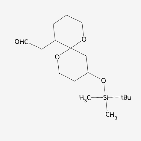 CC(C)(C)[Si](C)(C)OC1CCOC2(C1)OCCCC2CC=O